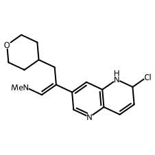 CN/C=C(\CC1CCOCC1)c1cnc2c(c1)NC(Cl)C=C2